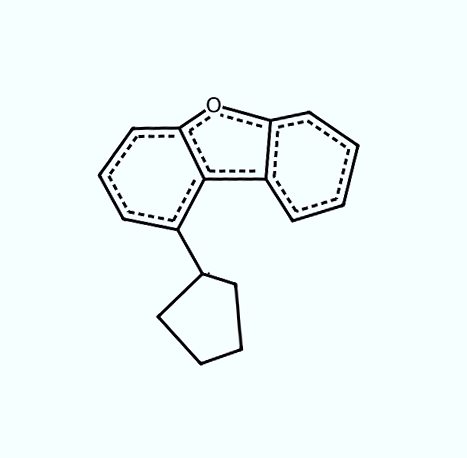 c1ccc2c(c1)oc1cccc([C]3CCCC3)c12